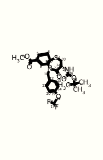 COC(=O)c1ccc2c(c1)N(Cc1ccc(OC(F)F)cc1)C(=O)[C@@H](NC(=O)OC(C)(C)C)CS2